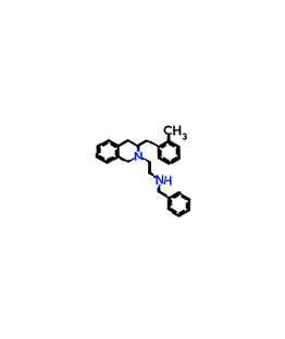 Cc1ccccc1CC1Cc2ccccc2CN1CCNCc1ccccc1